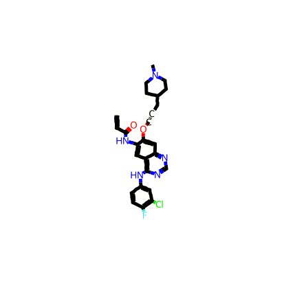 C=CC(=O)Nc1cc2c(Nc3ccc(F)c(Cl)c3)ncnc2cc1OCCCC1CCN(C)CC1